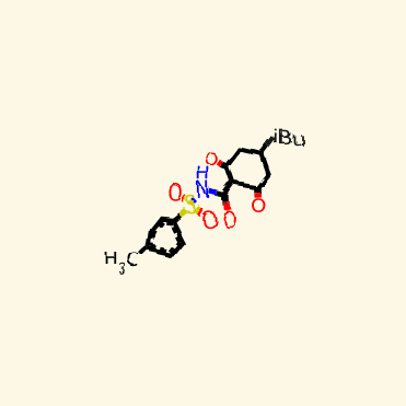 CCC(C)C1CC(=O)C(C(=O)NS(=O)(=O)c2ccc(C)cc2)C(=O)C1